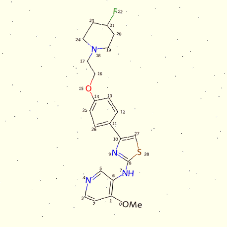 COc1ccncc1Nc1nc(-c2ccc(OCCN3CCC(F)CC3)cc2)cs1